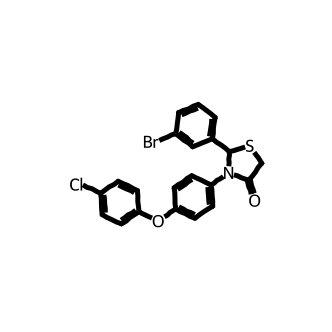 O=C1CSC(c2cccc(Br)c2)N1c1ccc(Oc2ccc(Cl)cc2)cc1